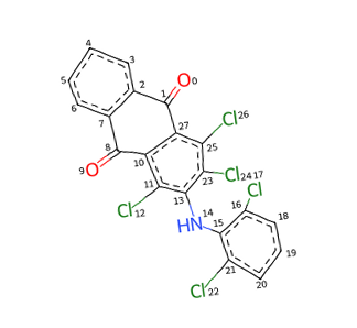 O=C1c2ccccc2C(=O)c2c(Cl)c(Nc3c(Cl)cccc3Cl)c(Cl)c(Cl)c21